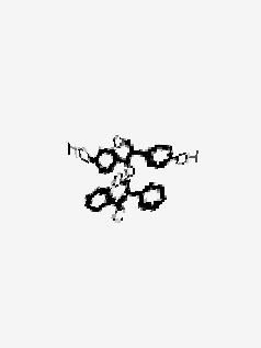 O=c1c(-c2ccc(O)cc2)coc2cc(O)ccc12.O=c1c(-c2ccccc2)coc2ccccc12